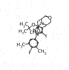 Cc1cc(-n2nc3c(c2I)C2COCC(C3)N2C(=O)OC(C)(C)C)cc(C)c1F